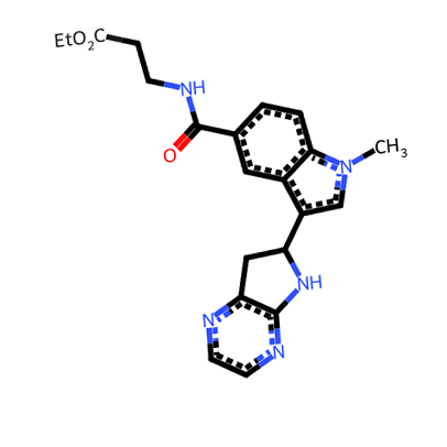 CCOC(=O)CCNC(=O)c1ccc2c(c1)c(C1Cc3nccnc3N1)cn2C